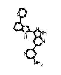 Nc1cncc(-c2cnc3[nH]nc(-c4cc5c(-c6ccccn6)cccc5[nH]4)c3c2)c1